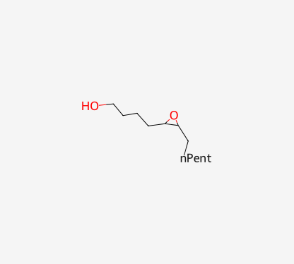 CCCCCCC1OC1CCCCO